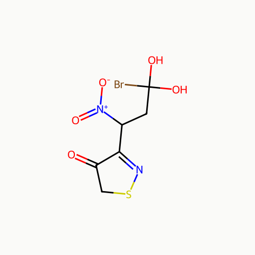 O=C1CSN=C1C(CC(O)(O)Br)[N+](=O)[O-]